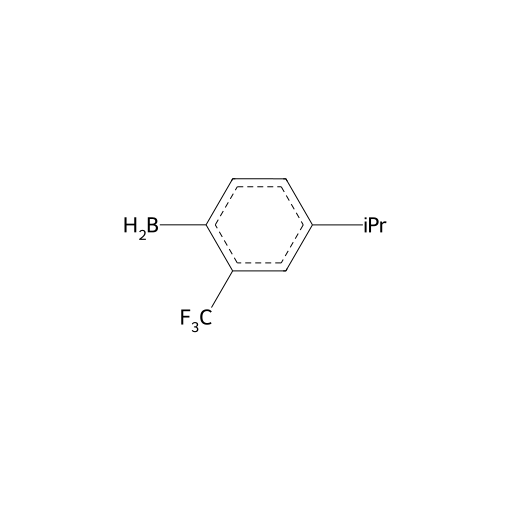 Bc1ccc(C(C)C)cc1C(F)(F)F